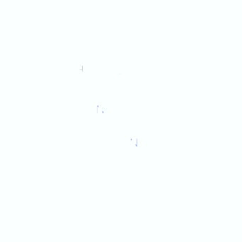 c1ccc(-c2cc(-c3ccccc3)cc(-n3c4ccccc4c4c(-n5c6ccccc6c6c([Si](c7ccccc7)(c7ccccc7)c7ccccc7)cccc65)cccc43)c2)cc1